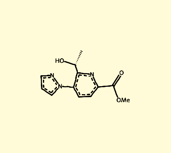 COC(=O)c1ccc(-n2cccn2)c([C@@H](C)O)n1